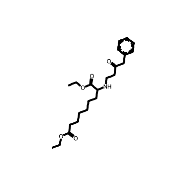 CCOC(=O)CCCCCCC(NCCC(=O)Cc1ccccc1)C(=O)OCC